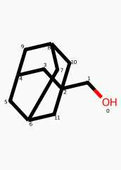 OCC12CC3[CH]C(CC(C3)C1)C2